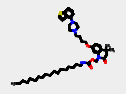 CCCCCCCCCCCCCCCCCCNC(=O)OCN1C(=O)CC(C)(C)c2ccc(OCCCCN3CCN(c4cccc5sccc45)CC3)cc21